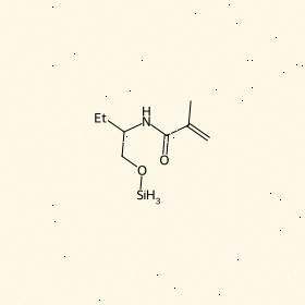 C=C(C)C(=O)NC(CC)CO[SiH3]